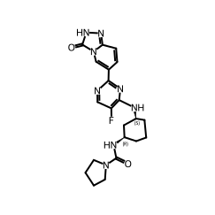 O=C(N[C@@H]1CCC[C@H](Nc2nc(-c3ccc4n[nH]c(=O)n4c3)ncc2F)C1)N1CCCC1